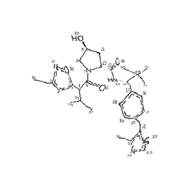 Cc1cc(C(C(=O)N2C[C@@H](O)C[C@@H]2C(=O)N[C@@H](c2ccc(-c3scnc3C)cc2)C(C)(C)C)C(C)C)on1